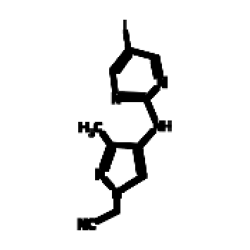 Cc1nn(CC#N)cc1Nc1ncc(I)cn1